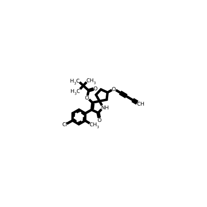 C#CC#COC1CCC2(C1)NC(=O)C(c1ccc(Cl)cc1C)=C2OC(=O)C(C)(C)C